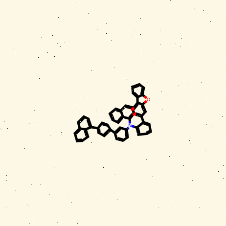 c1cc(-c2ccc(-c3cccc4ccccc34)cc2)cc(N(c2ccccc2-c2ccc3c(c2)oc2ccccc23)c2cccc3ccccc23)c1